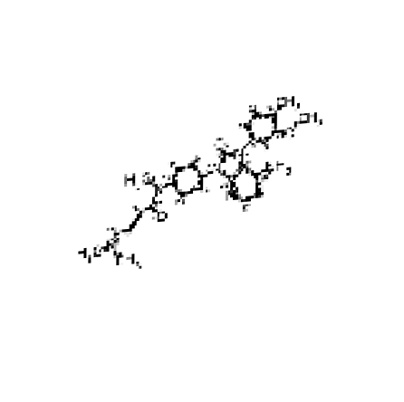 COc1cc(-n2c(=O)n(-c3ccc(N(C)C(=O)C=CCN(C)C)cc3)c3ncnc(N)c32)ccc1C